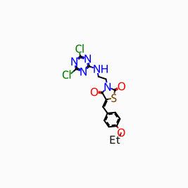 CCOc1ccc(/C=C2\SC(=O)N(CCNc3nc(Cl)nc(Cl)n3)C2=O)cc1